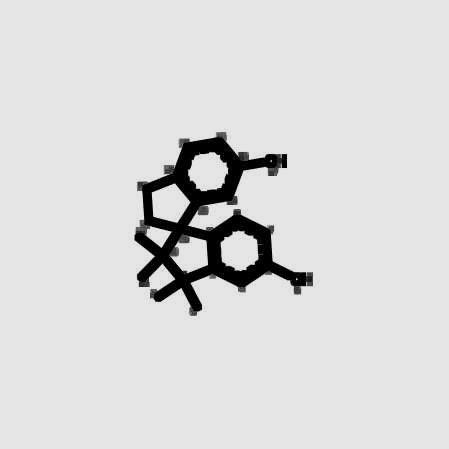 CC1(C)c2cc(O)ccc2C2(CCc3ccc(O)cc32)C1(C)C